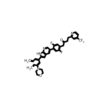 C=C/C=C(\C=C(/C=C)N1CCOCC1)c1cc2cc(-c3cc(F)c(CC(=O)CCc4cc(C(F)(F)F)ccn4)cc3F)cnc2[nH]1